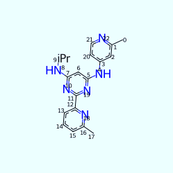 Cc1cc(Nc2cc(NC(C)C)nc(-c3cccc(C)n3)n2)ccn1